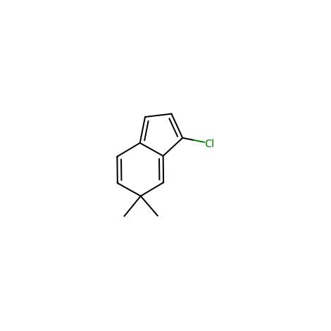 CC1(C)C=CC2=CC=C(Cl)C2=C1